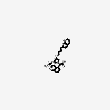 CC(C)(F)[C@@H]1Cc2c(cccc2[C@H](C(=O)O)N2CC[C@@H](OCCCCc3ccc4c(n3)NCCC4)C2)CO1